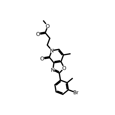 COC(=O)CCn1cc(C)c2oc(-c3cccc(Br)c3C)nc2c1=O